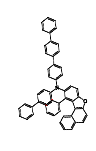 c1ccc(-c2ccc(-c3ccc(N(c4ccc(-c5ccccc5)cc4)c4ccc5oc6ccc7ccccc7c6c5c4-c4ccccc4)cc3)cc2)cc1